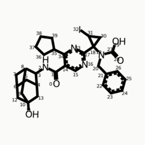 O=C(NC1C2CC3CC1CC(O)(C3)C2)c1cnc(C2(N(Cc3ccccc3)C(=O)O)CC2I)nc1C1CCCC1